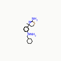 CC1(c2cccc(N(N)CC3CCCCC3)c2)CCSC(N)=N1